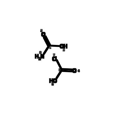 NC(=O)O.O=C(O)Cl